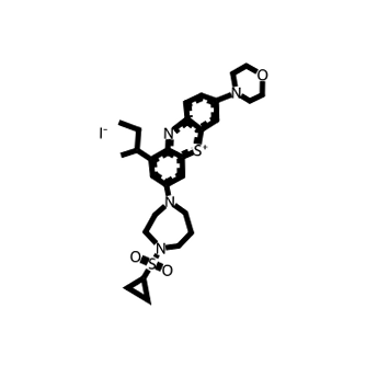 CCC(C)c1cc(N2CCCN(S(=O)(=O)C3CC3)CC2)cc2[s+]c3cc(N4CCOCC4)ccc3nc12.[I-]